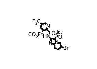 CCOC(=O)c1cc(C(F)(F)F)cnc1CNc1nc2ccc(Br)cn2c1S(=O)(=O)CC